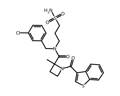 CC1(C(=O)N(CCCS(N)(=O)=O)Cc2cccc(Cl)c2)CCN1C(=O)c1csc2ccccc12